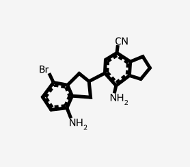 N#Cc1cc(C2Cc3c(N)ccc(Br)c3C2)c(N)c2c1CCC2